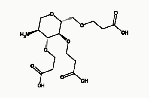 N[C@H]1CO[C@H](COCCC(=O)O)[C@@H](OCCC(=O)O)[C@@H]1OCCC(=O)O